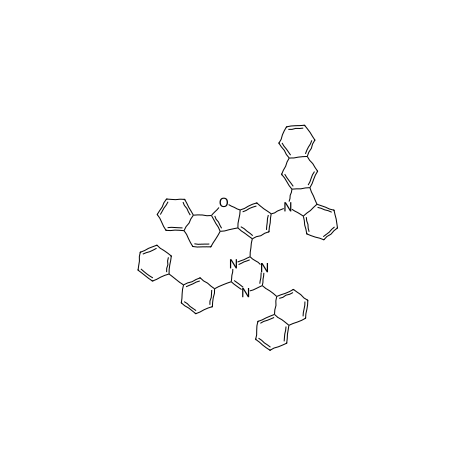 c1ccc(-c2cccc(-c3nc(-c4cccc5ccccc45)nc(-c4cc(-n5c6ccccc6c6cc7ccccc7cc65)cc5oc6c7ccccc7ccc6c45)n3)c2)cc1